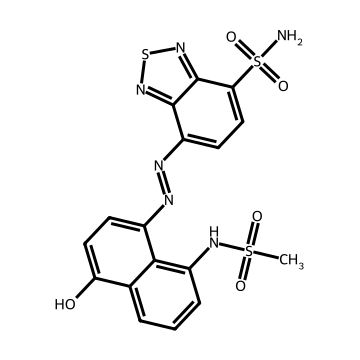 CS(=O)(=O)Nc1cccc2c(O)ccc(/N=N/c3ccc(S(N)(=O)=O)c4nsnc34)c12